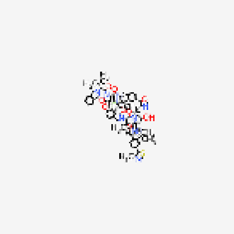 Cc1ncoc1-c1ccc(CNC(=O)C2CC(Oc3ccc4c(c3F)C(=O)N(C(C(=O)N3CC(O)CC3C(=O)NCc3ccc(-c5scnc5C)cc3C(C)(C)C)C(C)C)C4)CN2C(=O)C(C(C)C)N2Cc3ccccc3C2=O)c(C(C)(C)C)c1